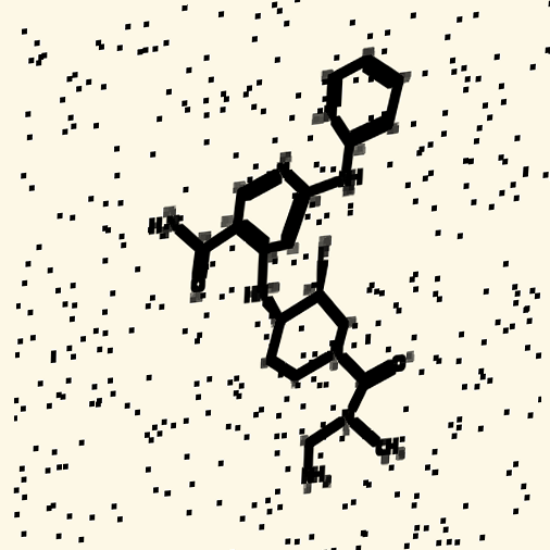 CN(CN)C(=O)N1CC[C@@H](Nc2cc(Nc3ccccn3)ncc2C(N)=O)[C@@H](F)C1